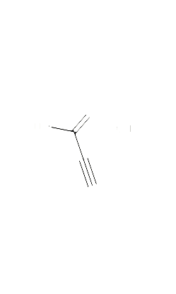 C#CC(=O)O.[CaH2]